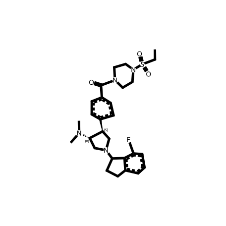 CCS(=O)(=O)N1CCN(C(=O)c2ccc([C@H]3CN(C4CCc5cccc(F)c54)C[C@@H]3N(C)C)cc2)CC1